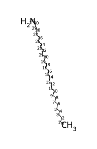 CCCCCCCCCCCCCCCCCCCCCCCCCCCCCCCN